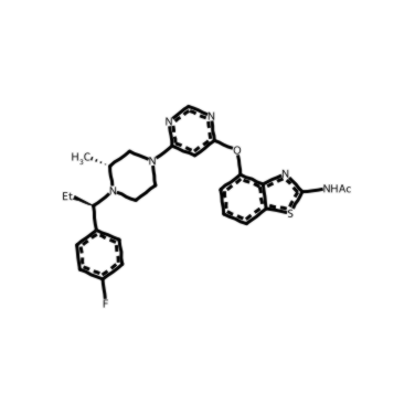 CC[C@H](c1ccc(F)cc1)N1CCN(c2cc(Oc3cccc4sc(NC(C)=O)nc34)ncn2)C[C@H]1C